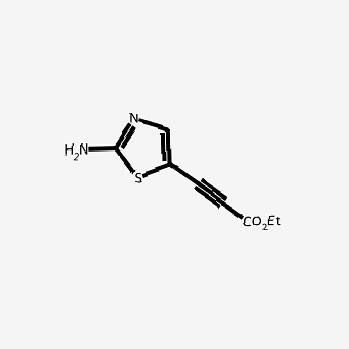 CCOC(=O)C#Cc1cnc(N)s1